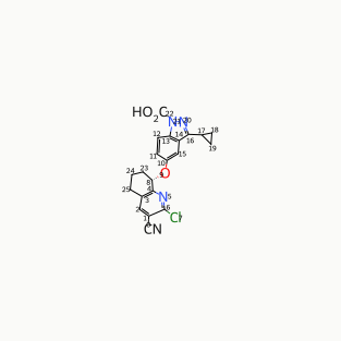 N#Cc1cc2c(nc1Cl)[C@@H](Oc1ccc3c(c1)c(C1CC1)nn3C(=O)O)CCC2